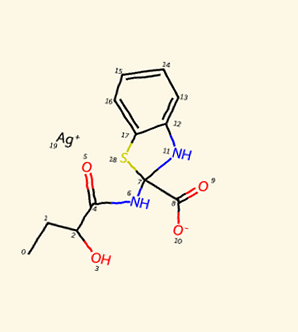 CCC(O)C(=O)NC1(C(=O)[O-])Nc2ccccc2S1.[Ag+]